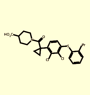 CC(C)c1ccccc1Sc1ccc(C2(C(=O)N3CCC(C(=O)O)CC3)CC2)c(Cl)c1Cl